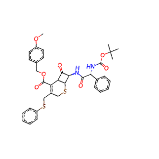 COc1ccc(COC(=O)C2=C(CSc3ccccc3)CSC3C2C(=O)[C@H]3NC(=O)[C@H](NC(=O)OC(C)(C)C)c2ccccc2)cc1